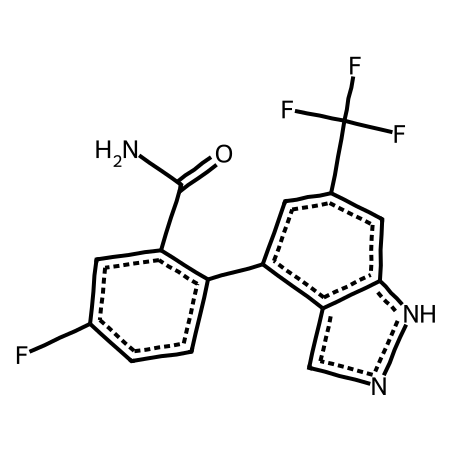 NC(=O)c1cc(F)ccc1-c1cc(C(F)(F)F)cc2[nH]ncc12